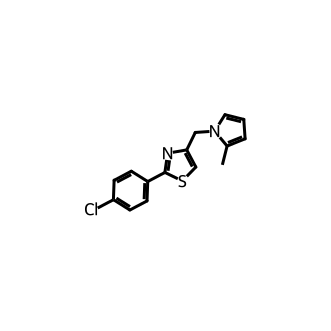 Cc1cccn1Cc1csc(-c2ccc(Cl)cc2)n1